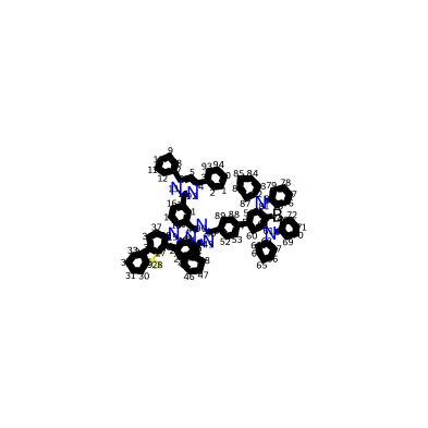 c1ccc(-c2cc(-c3ccccc3)nc(-c3ccc(-n4c5ccccc5c5c6sc7ccccc7c6ccc54)c(-c4nc(-c5ccccc5)nc(-c5ccc(-c6cc7c8c(c6)N(c6ccccc6)c6ccccc6B8c6ccccc6N7c6ccccc6)cc5)n4)c3)n2)cc1